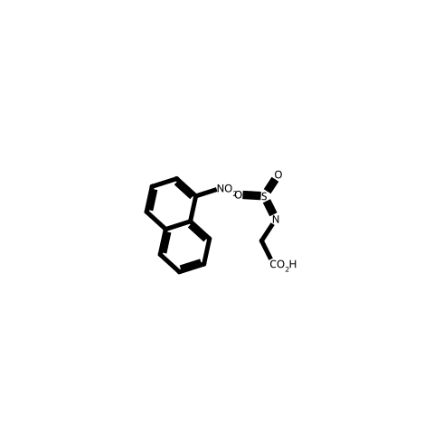 O=C(O)CN=S(=O)=O.O=[N+]([O-])c1cccc2ccccc12